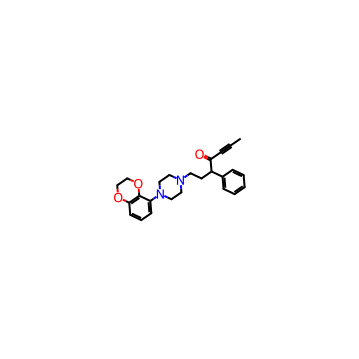 CC#CC(=O)C(CCN1CCN(c2cccc3c2OCCO3)CC1)c1ccccc1